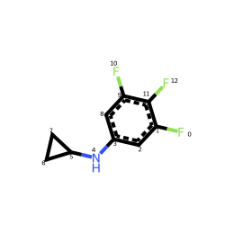 Fc1cc(NC2CC2)cc(F)c1F